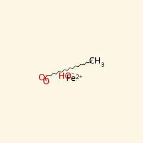 CCCCCCCCCCCCCCCCCC(=O)[O-].[Fe+2].[OH-]